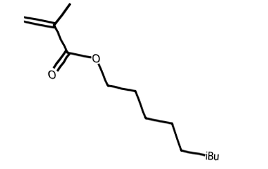 C=C(C)C(=O)OCCCCCC(C)CC